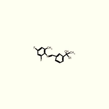 CCC(C)(C)c1cccc(/C=N/c2c(C)cc(F)cc2F)c1